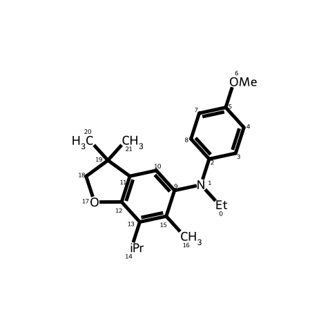 CCN(c1ccc(OC)cc1)c1cc2c(c(C(C)C)c1C)OCC2(C)C